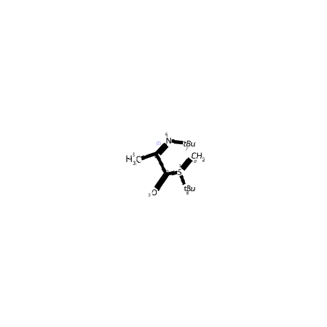 C=S(C(=O)/C(C)=N\C(C)(C)C)C(C)(C)C